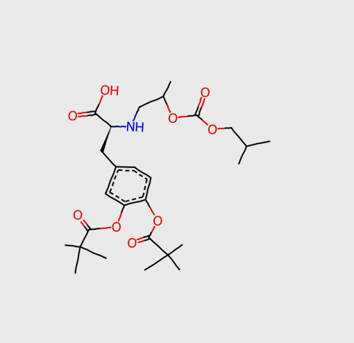 CC(C)COC(=O)OC(C)CN[C@@H](Cc1ccc(OC(=O)C(C)(C)C)c(OC(=O)C(C)(C)C)c1)C(=O)O